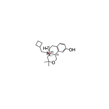 CC1(C)C[C@H]2[C@H]3Cc4ccc(O)cc4[C@@]2(CCN3CC2CCC2)CO1